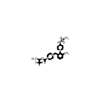 Cc1cccc(CN2CCN(C(=O)OC(C)C(F)(F)F)CC2)c1N1CCC(NS(C)(=O)=O)CC1